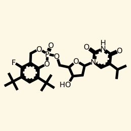 CC(C)c1cn(C2CC(O)C(COP3(=O)OCc4c(F)c(C(C)(C)C)cc(C(C)(C)C)c4O3)O2)c(=O)[nH]c1=O